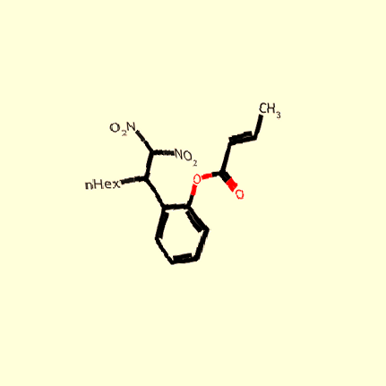 CC=CC(=O)Oc1ccccc1C(CCCCCC)C([N+](=O)[O-])[N+](=O)[O-]